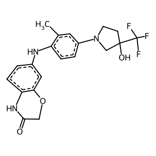 Cc1cc(N2CCC(O)(C(F)(F)F)C2)ccc1Nc1ccc2c(c1)OCC(=O)N2